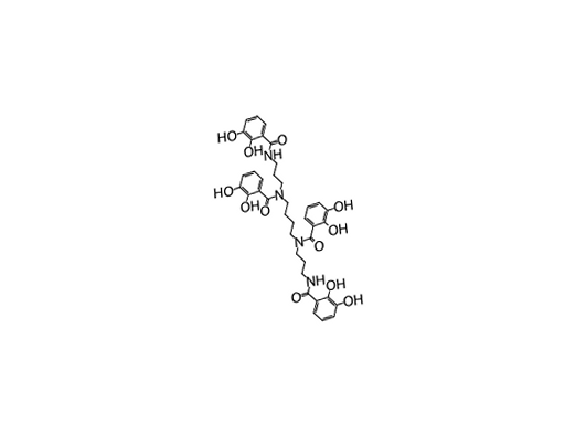 O=C(NCCCN(CCCCN(CCCNC(=O)c1cccc(O)c1O)C(=O)c1cccc(O)c1O)C(=O)c1cccc(O)c1O)c1cccc(O)c1O